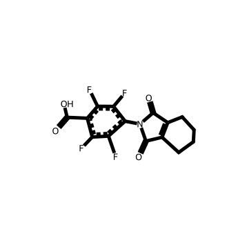 O=C(O)c1c(F)c(F)c(N2C(=O)C3=C(CCCC3)C2=O)c(F)c1F